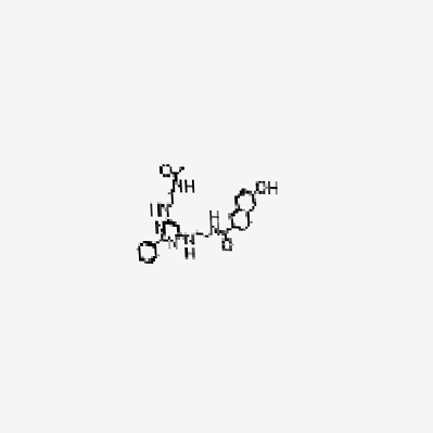 CC(=O)NCCNc1cc(NCCNC(=O)c2ccc3cc(O)ccc3c2)nc(-c2ccccc2)n1